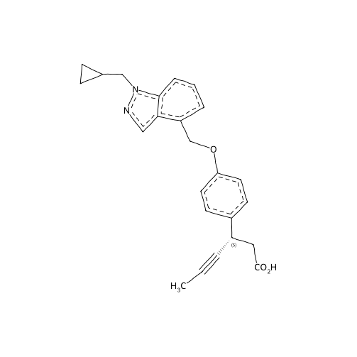 CC#C[C@@H](CC(=O)O)c1ccc(OCc2cccc3c2cnn3CC2CC2)cc1